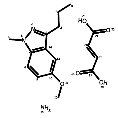 CCCc1nn(C)c2ccc(OC)cc12.N.O=C(O)C=CC(=O)O